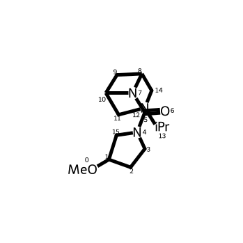 COC1CCN(C(=O)N2C3CC2CN(C(C)C)C3)C1